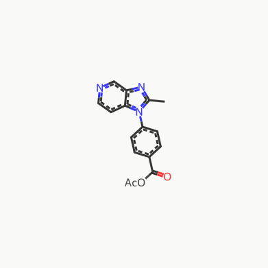 CC(=O)OC(=O)c1ccc(-n2c(C)nc3cnccc32)cc1